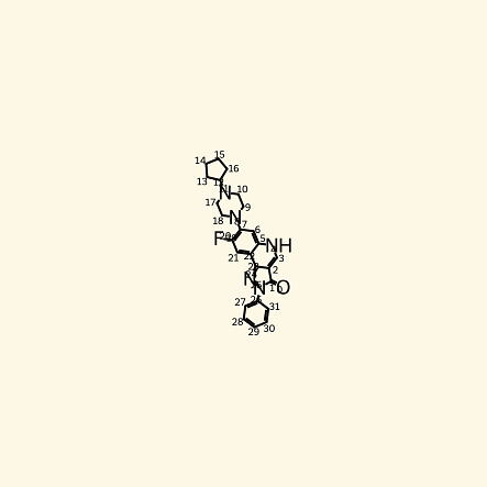 O=c1c2c[nH]c3cc(N4CCN(C5CCCC5)CC4)c(F)cc3c-2nn1-c1ccccc1